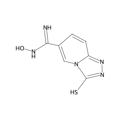 N=C(NO)c1ccc2nnc(S)n2c1